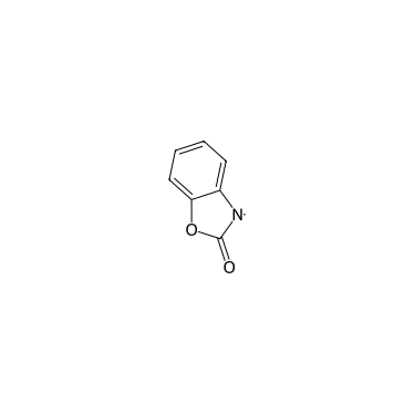 O=C1[N]c2ccccc2O1